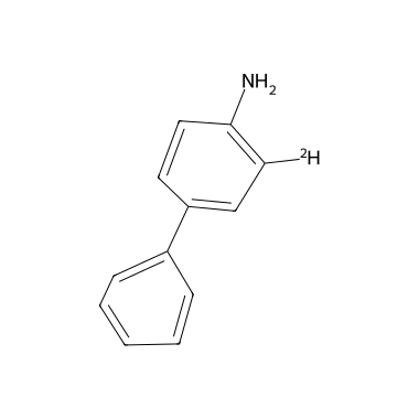 [2H]c1cc(-c2ccccc2)ccc1N